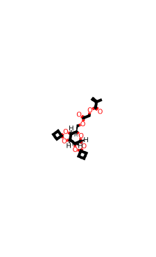 C=C(C)C(=O)OCC(=O)OC[C@H]1O[C@@H]2OC3(CCC3)O[C@@H]2[C@H]2OC3(CCC3)O[C@H]21